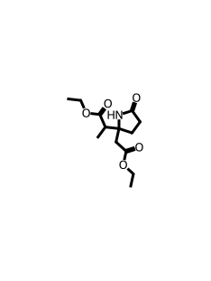 CCOC(=O)CC1(C(C)C(=O)OCC)CCC(=O)N1